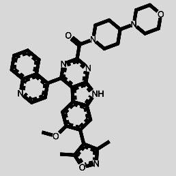 COc1cc2c(cc1-c1c(C)noc1C)[nH]c1nc(C(=O)N3CCC(N4CCOCC4)CC3)nc(-c3ccnc4ccccc34)c12